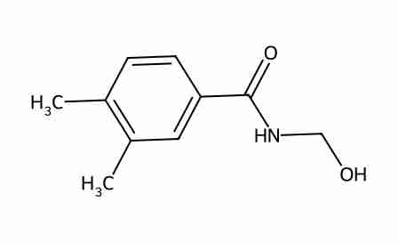 Cc1ccc(C(=O)NCO)cc1C